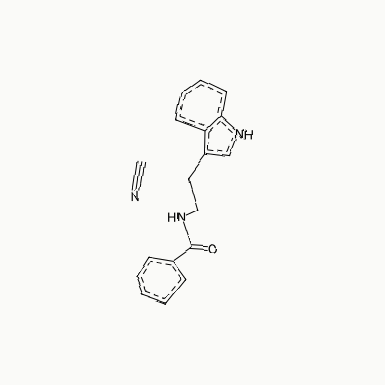 C#N.O=C(NCCc1c[nH]c2ccccc12)c1ccccc1